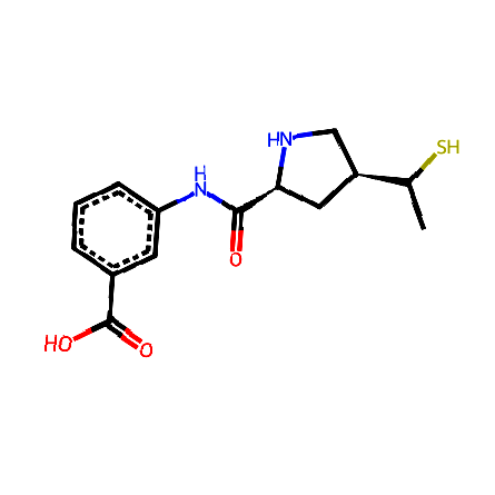 CC(S)[C@@H]1CN[C@H](C(=O)Nc2cccc(C(=O)O)c2)C1